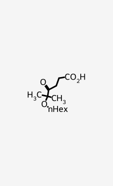 CCCCCCOC(C)(C)C(=O)CCC(=O)O